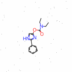 CCN(CC)C(=O)Oc1c[nH]c(-c2ccccc2)n1